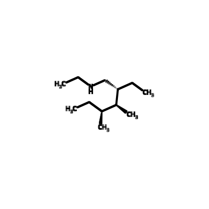 CCNC[C@H](CC)[C@@H](C)[C@@H](C)CC